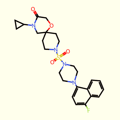 O=C1COC2(CCN(S(=O)(=O)N3CCN(c4ccc(F)c5ccccc45)CC3)CC2)CN1C1CC1